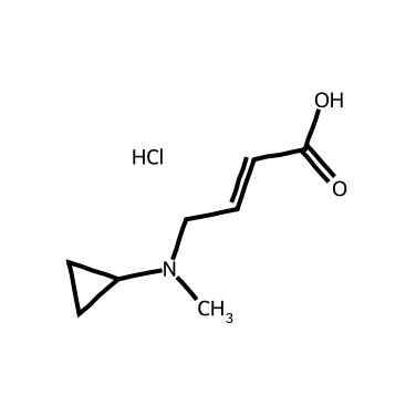 CN(C/C=C/C(=O)O)C1CC1.Cl